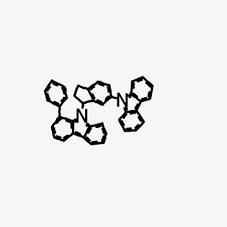 c1ccc(-c2cccc3c4ccccc4n(C4CCc5ccc(-n6c7ccccc7c7ccccc76)cc54)c23)cc1